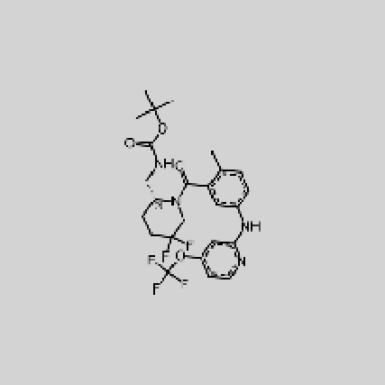 Cc1ccc(Nc2cc(OC(F)(F)F)ccn2)cc1C(=O)N1CC(F)(F)CC[C@@H]1CNC(=O)OC(C)(C)C